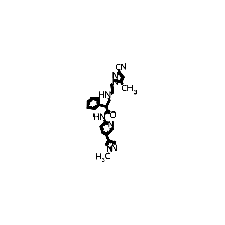 Cc1cc(C#N)nn1CCNCC(C(=O)Nc1ccc(-c2cnn(C)c2)cn1)c1ccccc1